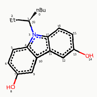 CCCC[C@H](CC)n1c2ccc(O)cc2c2cc(O)ccc21